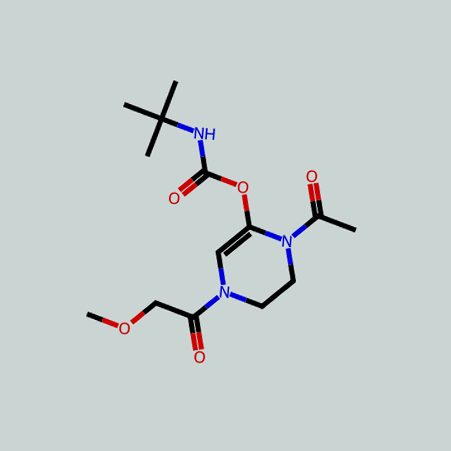 COCC(=O)N1C=C(OC(=O)NC(C)(C)C)N(C(C)=O)CC1